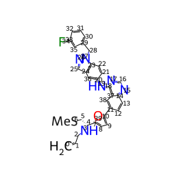 C=CCN[C@H](CSC)c1ccc(-c2ccc3ncnc(Nc4ccc5c(cnn5Cc5cccc(F)c5)c4)c3c2)o1